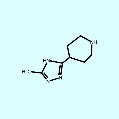 Cc1nnc(C2CCNCC2)[nH]1